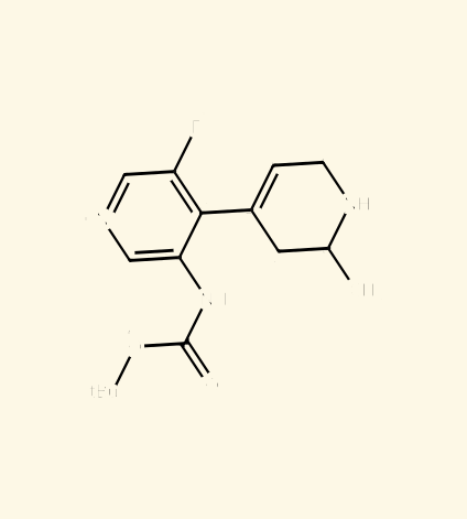 CC1CC(c2c(F)cncc2NC(=O)OC(C)(C)C)=CCN1